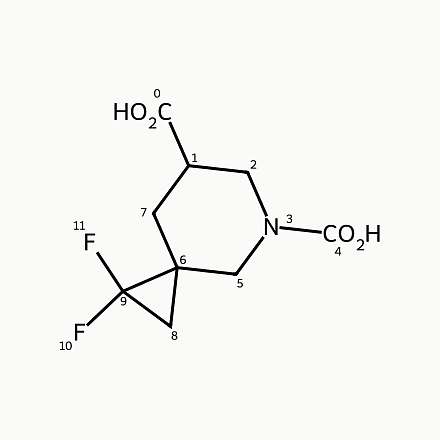 O=C(O)C1CN(C(=O)O)CC2(C1)CC2(F)F